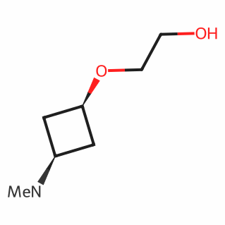 CN[C@H]1C[C@@H](OCCO)C1